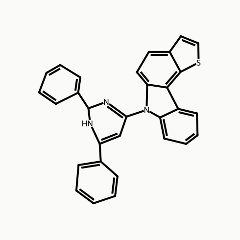 C1=C(c2ccccc2)NC(c2ccccc2)N=C1n1c2ccccc2c2c3sccc3ccc21